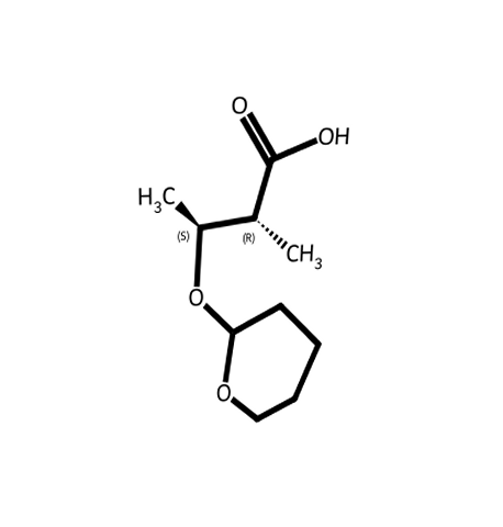 C[C@H](OC1CCCCO1)[C@@H](C)C(=O)O